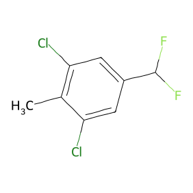 Cc1c(Cl)cc(C(F)F)cc1Cl